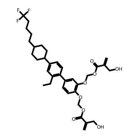 C=C(CO)C(=O)OCOc1ccc(-c2ccc(C3CCC(CCCCC(F)(F)F)CC3)cc2CC)cc1OCOC(=O)C(=C)CO